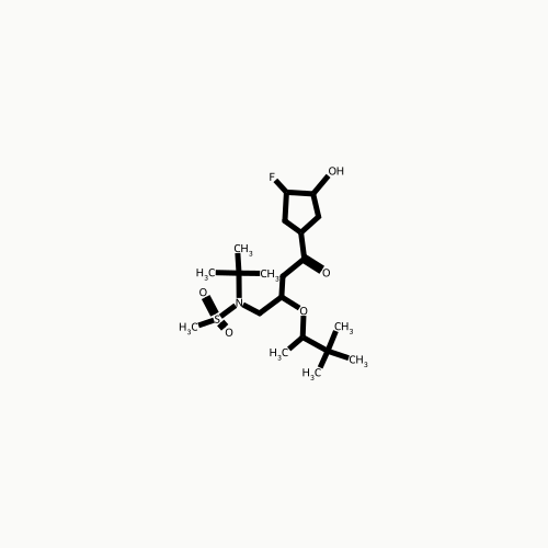 CC(OC(CC(=O)C1CC(O)C(F)C1)CN(C(C)(C)C)S(C)(=O)=O)C(C)(C)C